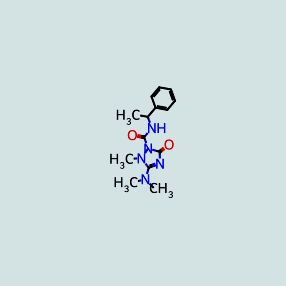 CC(NC(=O)n1c(=O)nc(N(C)C)n1C)c1ccccc1